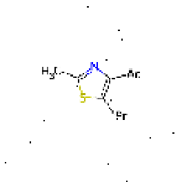 CC(=O)c1nc(C)sc1C(C)C